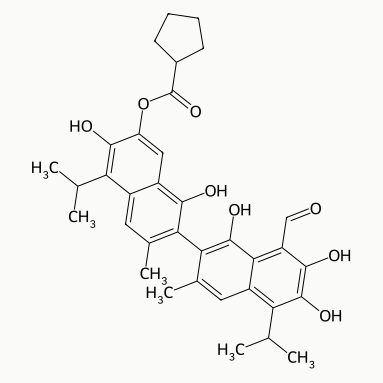 Cc1cc2c(C(C)C)c(O)c(OC(=O)C3CCCC3)cc2c(O)c1-c1c(C)cc2c(C(C)C)c(O)c(O)c(C=O)c2c1O